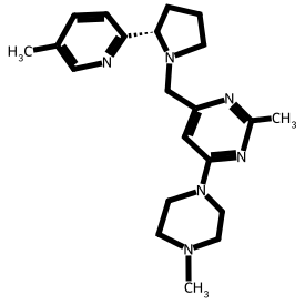 Cc1ccc([C@@H]2CCCN2Cc2cc(N3CCN(C)CC3)nc(C)n2)nc1